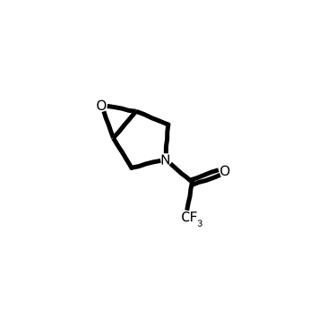 O=C(N1CC2OC2C1)C(F)(F)F